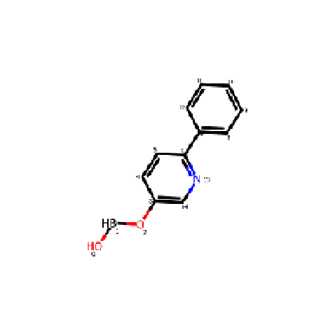 OBOc1ccc(-c2ccccc2)nc1